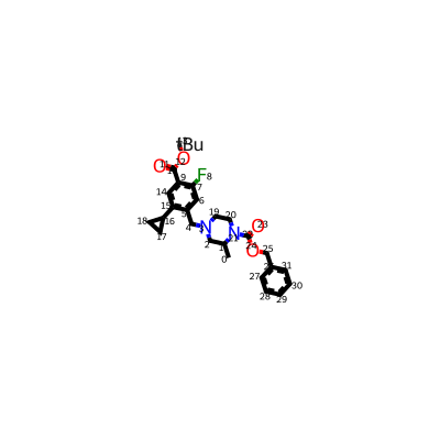 CC1CN(Cc2cc(F)c(C(=O)OC(C)(C)C)cc2C2CC2)CCN1C(=O)OCc1ccccc1